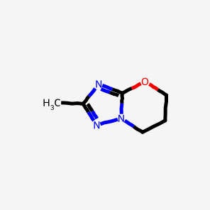 Cc1nc2n(n1)CCCO2